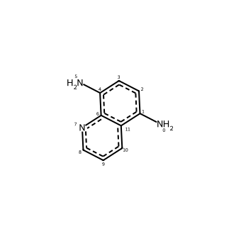 Nc1ccc(N)c2ncccc12